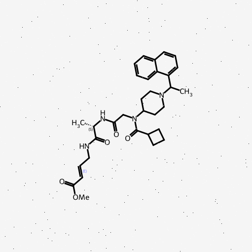 COC(=O)/C=C/CNC(=O)[C@H](C)NC(=O)CN(C(=O)C1CCC1)C1CCN(C(C)c2cccc3ccccc23)CC1